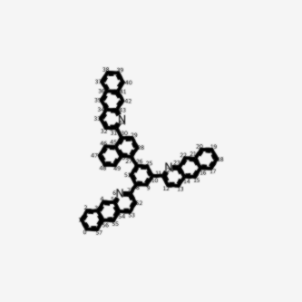 c1ccc2cc3nc(-c4cc(-c5ccc6cc7ccccc7cc6n5)cc(-c5ccc(-c6ccc7cc8ccccc8cc7n6)c6ccccc56)c4)ccc3cc2c1